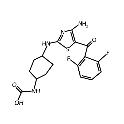 Nc1nc(NC2CCC(NC(=O)O)CC2)sc1C(=O)c1c(F)cccc1F